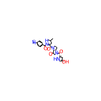 CC(C)C[C@H](NC(=O)c1ccc(N(C)C)cc1)C(=O)N1CCC2C1C(=O)CN2C(=O)[C@@H]1C[C@@H](O)CN1